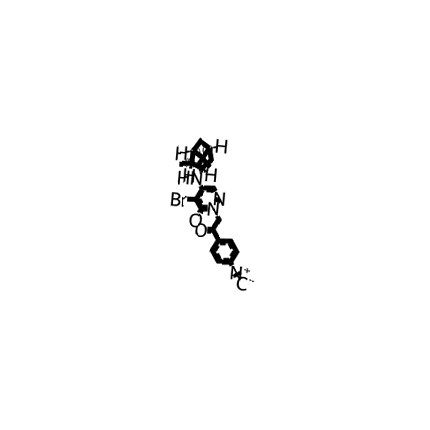 [C-]#[N+]c1ccc(C(=O)Cn2ncc(N[C@@H]3C[C@@H]4C[C@H]([C@H]3C)C4(C)C)c(Br)c2=O)cc1